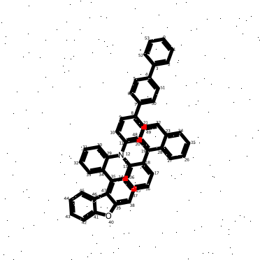 c1ccc(-c2ccc(-c3ccc(N(c4ccccc4-c4cccc5ccccc45)c4ccccc4-c4cccc5oc6ccccc6c45)cc3)cc2)cc1